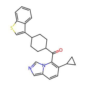 O=C(c1c(C2CC2)ccc2cncn12)C1CCC(c2csc3ccccc23)CC1